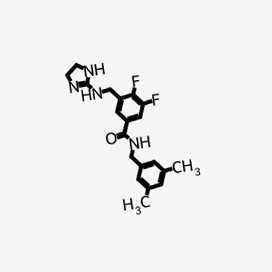 Cc1cc(C)cc(CNC(=O)c2cc(F)c(F)c(CNC3=NCCN3)c2)c1